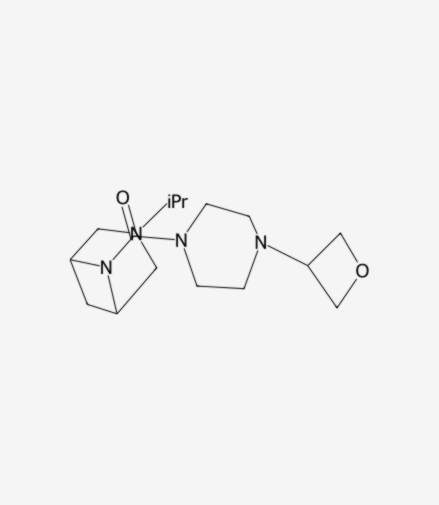 CC(C)N1CC2CC(C1)N2C(=O)N1CCN(C2COC2)CC1